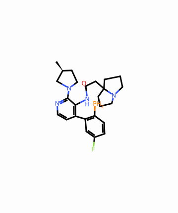 C[C@H]1CCN(c2nccc(-c3cc(F)ccc3P)c2NC(=O)CC23CCCN2CCC3)C1